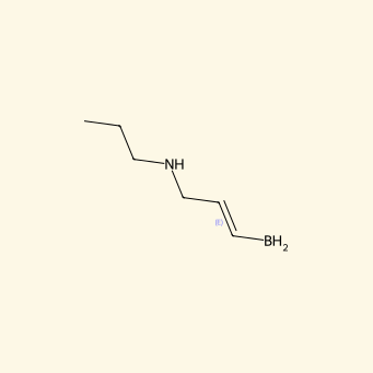 B/C=C/CNCCC